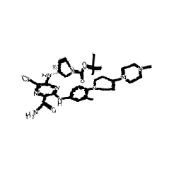 Cc1cc(Nc2nc(N[C@@H]3CCN(C(=O)OC(C)(C)C)C3)c(Cl)nc2C(N)=O)ccc1N1CCC(N2CCN(C)CC2)CC1